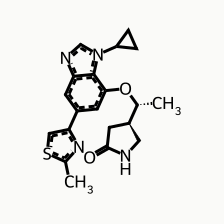 Cc1nc(-c2cc(O[C@H](C)[C@H]3CNC(=O)C3)c3c(c2)ncn3C2CC2)cs1